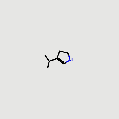 CC(C)C1=CNCC1